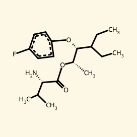 CCC(CC)[C@@H](Oc1ccc(F)cc1)[C@H](C)OC(=O)[C@@H](N)C(C)C